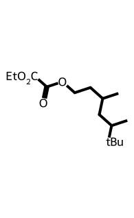 CCOC(=O)C(=O)OCCC(C)CC(C)C(C)(C)C